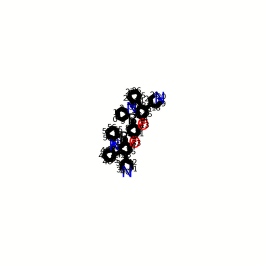 c1ccc2c(c1)B1c3cc4c(cc3Oc3cc(-c5ccncc5)c5c6ccccc6n-2c5c31)Oc1cc(-c2ccncc2)c2c3ccccc3n3c2c1B4c1ccccc1-3